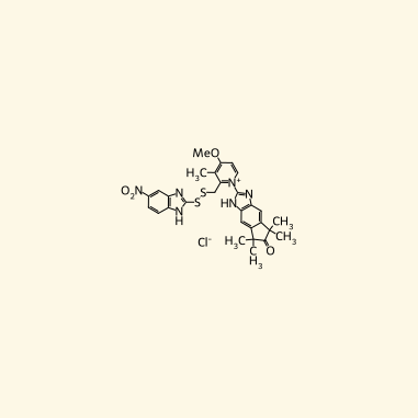 COc1cc[n+](-c2nc3cc4c(cc3[nH]2)C(C)(C)C(=O)C4(C)C)c(CSSc2nc3cc([N+](=O)[O-])ccc3[nH]2)c1C.[Cl-]